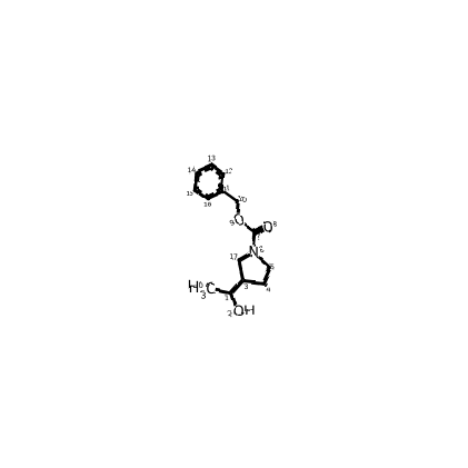 CC(O)C1CCN(C(=O)OCc2ccccc2)C1